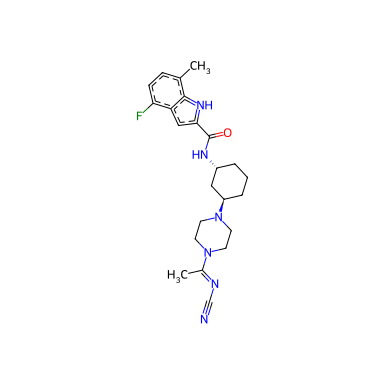 C/C(=N\C#N)N1CCN([C@@H]2CCC[C@@H](NC(=O)c3cc4c(F)ccc(C)c4[nH]3)C2)CC1